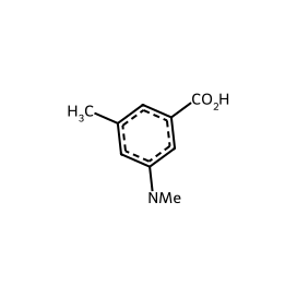 CNc1cc(C)cc(C(=O)O)c1